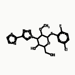 COC1C(Sc2cc(Cl)ccc2F)OC(CO)C(O)C1n1cc(-c2nccs2)nn1